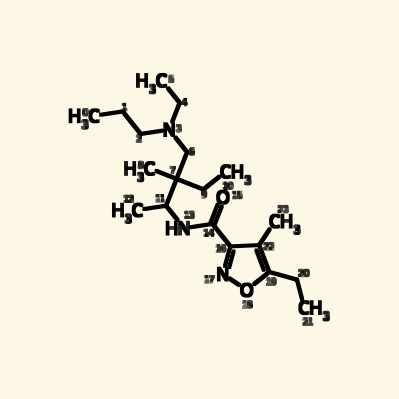 CCCN(CC)CC(C)(CC)C(C)NC(=O)c1noc(CC)c1C